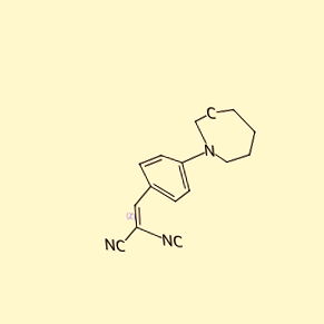 [C-]#[N+]/C(C#N)=C\c1ccc(N2CCCCCC2)cc1